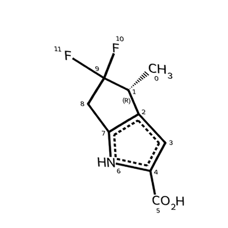 C[C@@H]1c2cc(C(=O)O)[nH]c2CC1(F)F